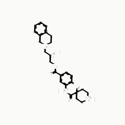 O=C(NC[C@H](O)CN1CCc2ccccc2C1)c1ccc2c(c1)NC(=O)C1(CCNCC1)O2